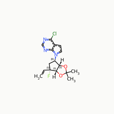 C=C[C@@]1(F)C[C@@H](n2ccc3c(Cl)ncnc32)[C@@H]2OC(C)(C)O[C@@H]21